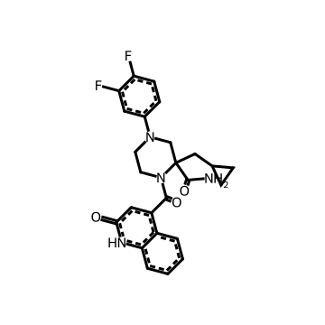 NC(=O)C1(CC2CC2)CN(c2ccc(F)c(F)c2)CCN1C(=O)c1cc(=O)[nH]c2ccccc12